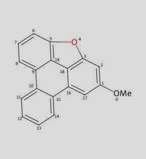 COc1cc2oc3cccc4c5ccccc5c(c1)c2c34